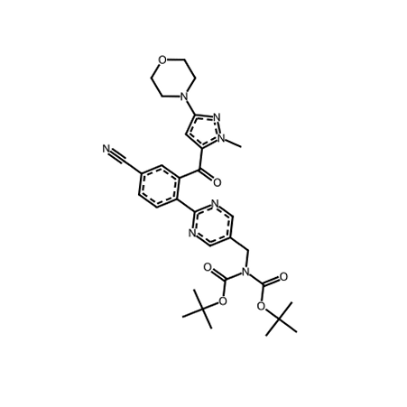 Cn1nc(N2CCOCC2)cc1C(=O)c1cc(C#N)ccc1-c1ncc(CN(C(=O)OC(C)(C)C)C(=O)OC(C)(C)C)cn1